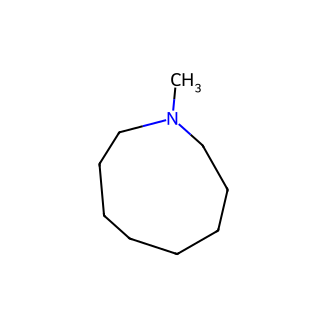 CN1CCCCCCCC1